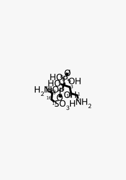 NCCCC(O)(P(=O)(O)O)P(=O)(O)O.NCCS(=O)(=O)O